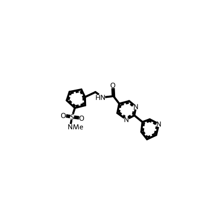 CNS(=O)(=O)c1cccc(CNC(=O)c2cnc(-c3cccnc3)nc2)c1